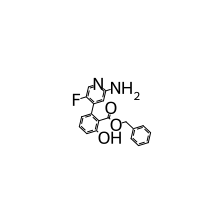 Nc1cc(-c2cccc(O)c2C(=O)OCc2ccccc2)c(F)cn1